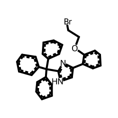 BrCCOc1ccccc1-c1c[nH]c(C(c2ccccc2)(c2ccccc2)c2ccccc2)n1